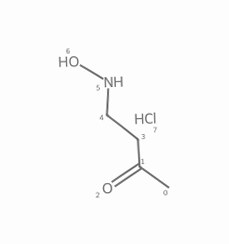 CC(=O)CCNO.Cl